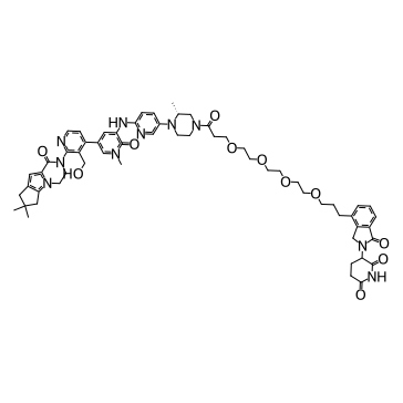 C[C@@H]1CN(C(=O)CCOCCOCCOCCOCCCc2cccc3c2CN(C2CCC(=O)NC2=O)C3=O)CCN1c1ccc(Nc2cc(-c3ccnc(N4CCn5c(cc6c5CC(C)(C)C6)C4=O)c3CO)cn(C)c2=O)nc1